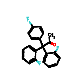 CC(=O)C(c1ccc(F)cc1)(c1ccccc1F)c1ccccc1F